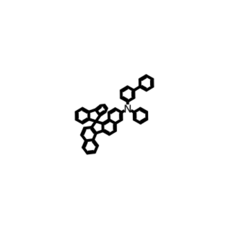 c1ccc(-c2cccc(N(c3ccccc3)c3ccc4c5c(ccc4c3)-c3c(ccc4ccccc34)C53c4ccccc4-c4ccccc43)c2)cc1